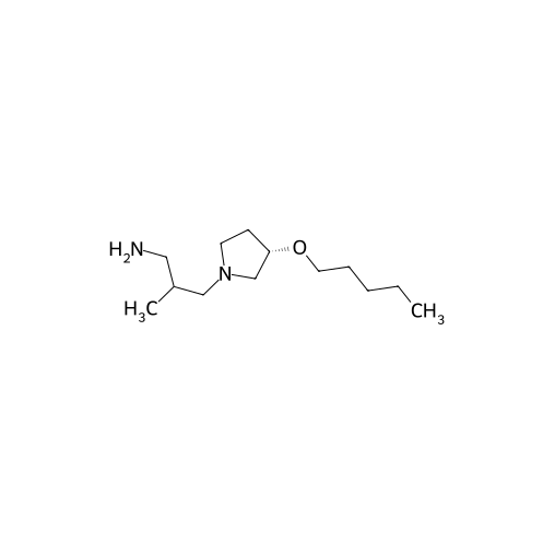 CCCCCO[C@H]1CCN(CC(C)CN)C1